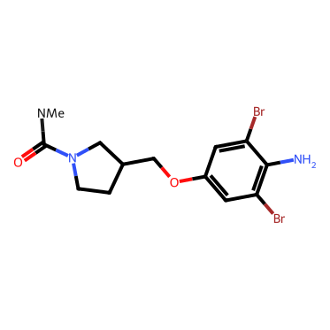 CNC(=O)N1CCC(COc2cc(Br)c(N)c(Br)c2)C1